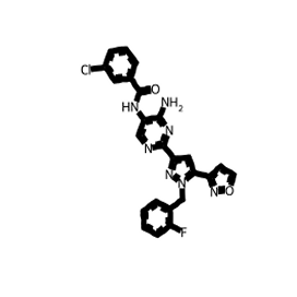 Nc1nc(-c2cc(-c3ccon3)n(Cc3ccccc3F)n2)ncc1NC(=O)c1cccc(Cl)c1